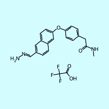 CNC(=O)Cc1ccc(Oc2ccc3cc(C=NN)ccc3c2)cc1.O=C(O)C(F)(F)F